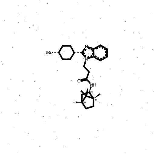 CC1(C)[C@@H]2CC[C@@]1(C)[C@H](NC(=O)CCn1c3ccccc3nc1[C@H]1CC[C@@H](C(C)(C)C)CC1)C2